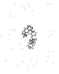 O=S(=O)(NCC1CCCN(c2ncnc3ccc(C(F)(F)F)cc23)C1)N1CCOCC1